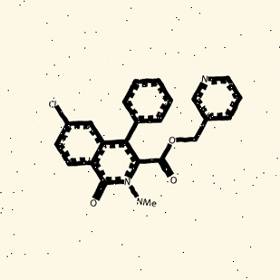 CNn1c(C(=O)OCc2cccnc2)c(-c2ccccc2)c2cc(Cl)ccc2c1=O